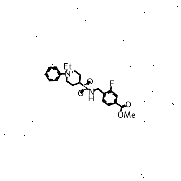 CC[N+]1(c2ccccc2)CCC(S(=O)(=O)NCc2ccc(C(=O)OC)cc2F)CC1